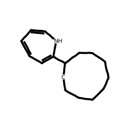 C1=CC=C([C]2CCCCCCCCC2)NC=C1